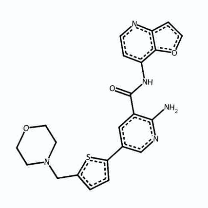 Nc1ncc(-c2ccc(CN3CCOCC3)s2)cc1C(=O)Nc1ccnc2ccoc12